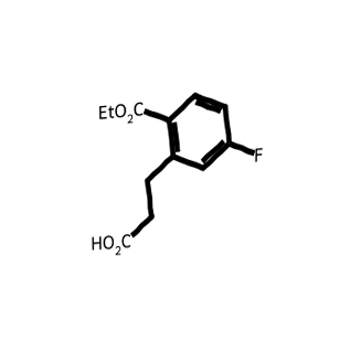 CCOC(=O)c1ccc(F)cc1CCC(=O)O